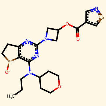 CCCN(c1nc(N2CC(OC(=O)c3cnsc3)C2)nc2c1[S+]([O-])CC2)C1CCOCC1